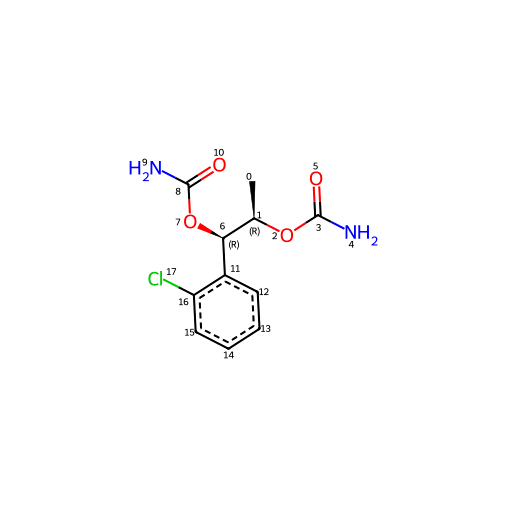 C[C@@H](OC(N)=O)[C@H](OC(N)=O)c1ccccc1Cl